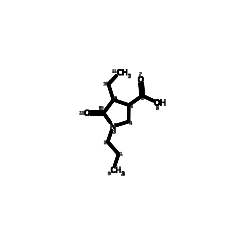 CCCN1CC(C(=O)O)C(CC)C1=O